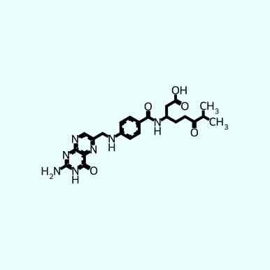 CC(C)C(=O)CCC(CC(=O)O)NC(=O)c1ccc(NCc2cnc3nc(N)[nH]c(=O)c3n2)cc1